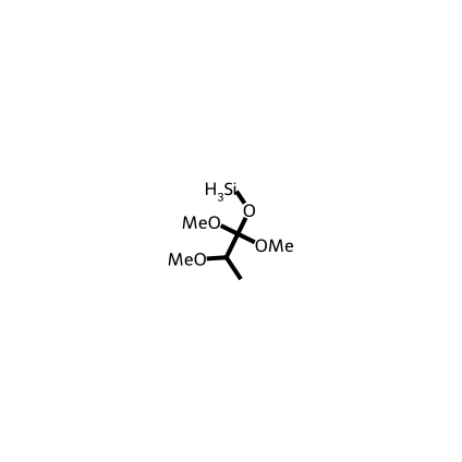 COC(C)C(OC)(OC)O[SiH3]